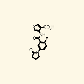 O=C(Nc1cscc1C(=O)O)c1cc(N2CCCC2=O)ccc1F